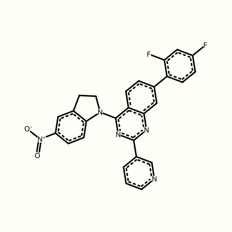 O=[N+]([O-])c1ccc2c(c1)CCN2c1nc(-c2cccnc2)nc2cc(-c3ccc(F)cc3F)ccc12